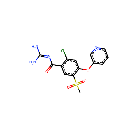 CS(=O)(=O)c1cc(C(=O)N=C(N)N)c(Cl)cc1Oc1cccnc1